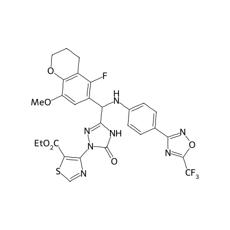 CCOC(=O)c1scnc1-n1nc(C(Nc2ccc(-c3noc(C(F)(F)F)n3)cc2)c2cc(OC)c3c(c2F)CCCO3)[nH]c1=O